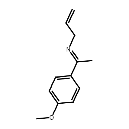 C=CCN=C(C)c1ccc(OC)cc1